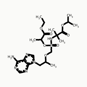 CCOC(=O)C(C)OP(=O)(COC(C)Cn1cnc2c(N)ncnc21)NC(C)(C)C(=O)OC(C)C